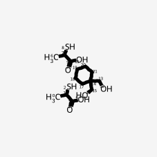 CC(S)C(=O)O.CC(S)C(=O)O.OCC1(CO)CCCCC1